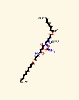 CCCCCCCCC=CCCCCCCCCOCCCNC(=O)CC(OC(N)=O)C(=O)NCC(CCCOC(CCC)CCCCC=CCCCCCCCC)NC=O